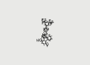 COc1ccc(O)c(-c2nnc(Sc3nc(-c4cc(C(F)(F)F)cc(C(F)(F)F)c4)cs3)n2-c2ccccc2)c1